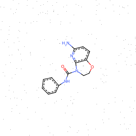 Nc1ccc2c(n1)N(C(=O)Nc1ccccc1)CCO2